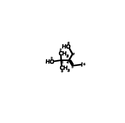 CC(C)(O)/C(=C/I)CO